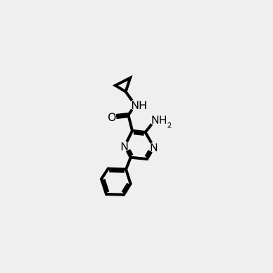 Nc1ncc(-c2ccccc2)nc1C(=O)NC1CC1